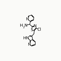 NC(c1ccccn1)c1nc(Cl)c(Cc2c[nH]c3ncccc23)s1